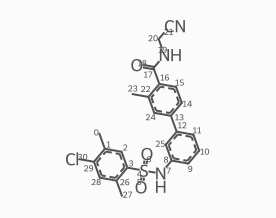 Cc1cc(S(=O)(=O)Nc2cccc(-c3ccc(C(=O)NCC#N)c(C)c3)c2)c(C)cc1Cl